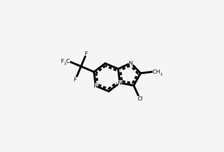 Cc1nc2cc(C(F)(F)C(F)(F)F)ncn2c1Cl